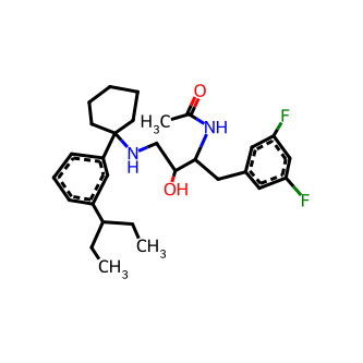 CCC(CC)c1cccc(C2(NCC(O)C(Cc3cc(F)cc(F)c3)NC(C)=O)CCCCC2)c1